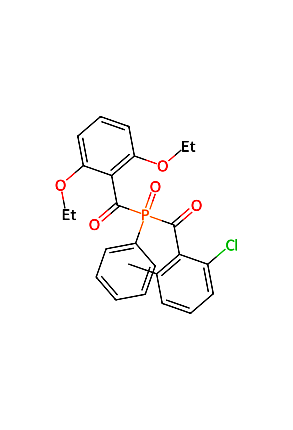 CCOc1cccc(OCC)c1C(=O)P(=O)(C(=O)c1c(C)cccc1Cl)c1ccccc1